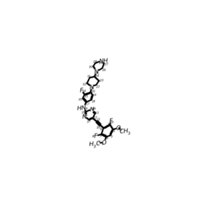 COc1cc(OC)c(F)c(C#Cc2cnc(Nc3ccc(N4CCC(N5CCNCC5)CC4)c(F)c3)nc2)c1F